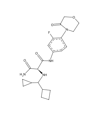 NC(=O)[C@H](NC(C1CCC1)C1CC1)C(=O)Nc1ccc(N2CCOCC2=O)c(F)c1